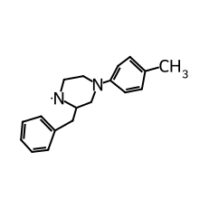 Cc1ccc(N2CC[N]C(Cc3ccccc3)C2)cc1